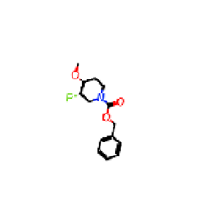 CO[C@@H]1CCN(C(=O)OCc2ccccc2)C[C@@H]1F